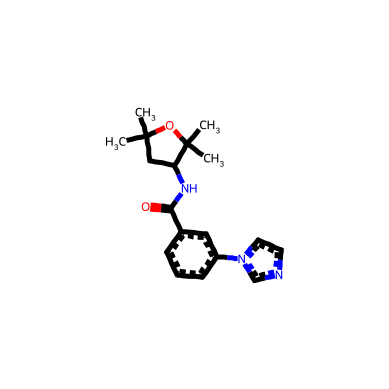 CC1(C)CC(NC(=O)c2cccc(-n3ccnc3)c2)C(C)(C)O1